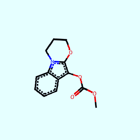 COC(=O)Oc1c2n(c3ccccc13)CCCO2